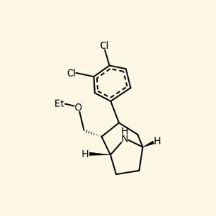 CCOC[C@@H]1C(c2ccc(Cl)c(Cl)c2)C[C@@H]2CC[C@H]1N2